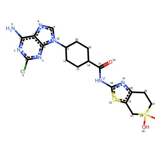 Nc1nc(Cl)nc2c1ncn2C1CCC(C(=O)Nc2nc3c(s2)CS(O)(O)CC3)CC1